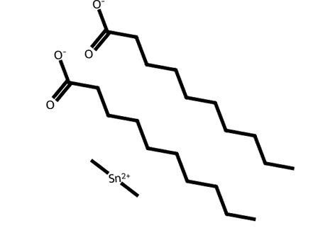 CCCCCCCCCC(=O)[O-].CCCCCCCCCC(=O)[O-].[CH3][Sn+2][CH3]